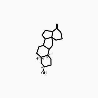 C=C1CCCC23CCC4C(CC[C@@H]5C[C@H](O)CC[C@]45C)C2CCC13